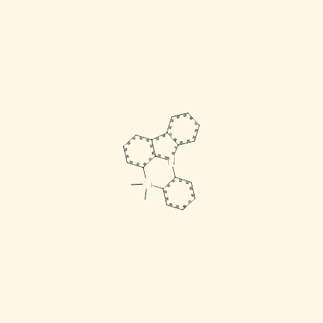 C[Si]1(C)c2ccccc2-n2c3ccccc3c3cccc1c32